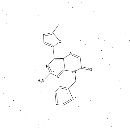 Cc1ccc(-c2nc(N)nc3c2ncc(=O)n3Cc2ccccc2)o1